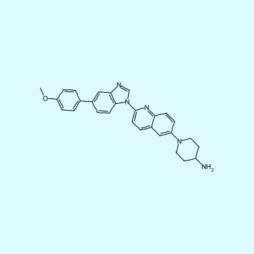 COc1ccc(-c2ccc3c(c2)ncn3-c2ccc3cc(N4CCC(N)CC4)ccc3n2)cc1